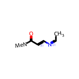 C/C=N\C=C\C(=O)NC